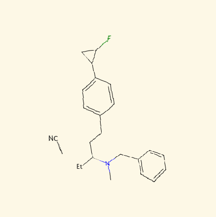 CC#N.CCC(CCc1ccc(C2CC2F)cc1)N(C)Cc1ccccc1